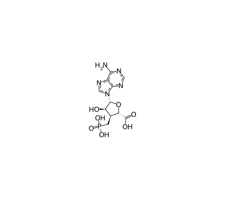 Nc1ncnc2c1ncn2[C@@H]1O[C@H](C(=O)O)[C@@H](CP(=O)(O)O)[C@H]1O